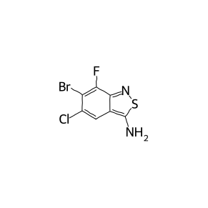 Nc1snc2c(F)c(Br)c(Cl)cc12